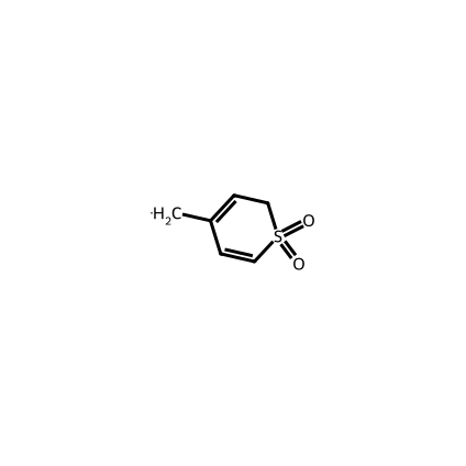 [CH2]C1=CCS(=O)(=O)C=C1